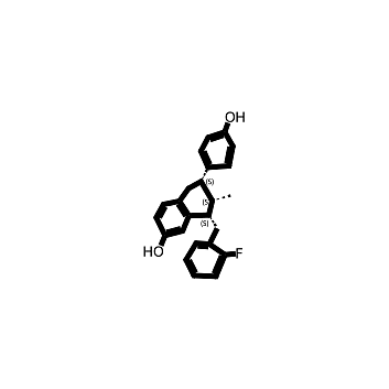 C[C@H]1[C@@H](c2ccc(O)cc2)Cc2ccc(O)cc2[C@H]1Cc1ccccc1F